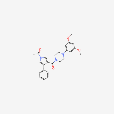 COc1cc(OC)cc(N2CCN(C(=O)c3cn(C(C)=O)cc3-c3ccccc3)CC2)c1